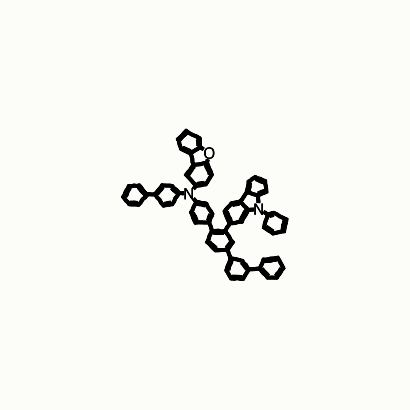 c1ccc(-c2ccc(N(c3ccc(-c4ccc(-c5cccc(-c6ccccc6)c5)cc4-c4ccc5c6ccccc6n(-c6ccccc6)c5c4)cc3)c3ccc4oc5ccccc5c4c3)cc2)cc1